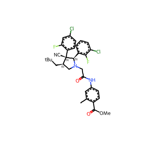 COC(=O)c1ccc(NC(=O)CN2C[C@@H](CC(C)(C)C)[C@](C#N)(c3ccc(Cl)cc3F)[C@H]2c2cccc(Cl)c2F)cc1C